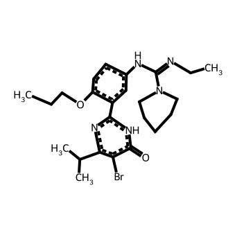 CCCOc1ccc(N/C(=N/CC)N2CCCCC2)cc1-c1nc(C(C)C)c(Br)c(=O)[nH]1